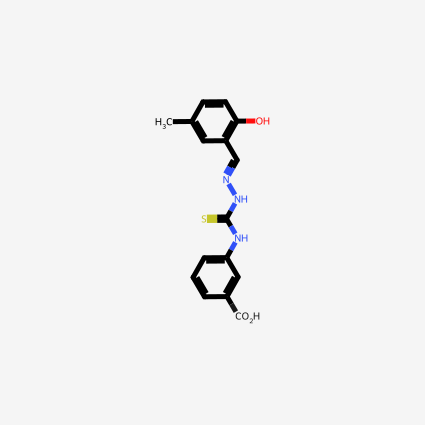 Cc1ccc(O)c(C=NNC(=S)Nc2cccc(C(=O)O)c2)c1